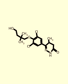 CC1CC(=O)NN=C1c1cc(Cl)c(OCC(C)(C)CCO)c(Cl)c1